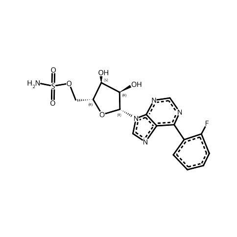 NS(=O)(=O)OC[C@H]1O[C@@H](n2cnc3c(-c4ccccc4F)ncnc32)[C@H](O)[C@@H]1O